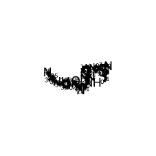 CCc1cnn(C2(CC#N)CN(c3cccn4nc(Nc5cnn(CC(=O)N6CCC(CNCC(C)(C)C#N)CC6)c5)nc34)C2)c1